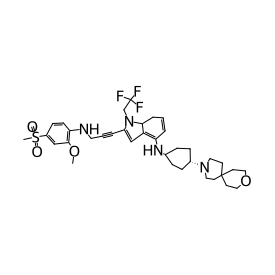 COc1cc(S(C)(=O)=O)ccc1NCC#CC1=CC2=C(N[C@H]3CC[C@@H](N4CCC5(CCOCC5)CC4)CC3)C=CCC2N1CC(F)(F)F